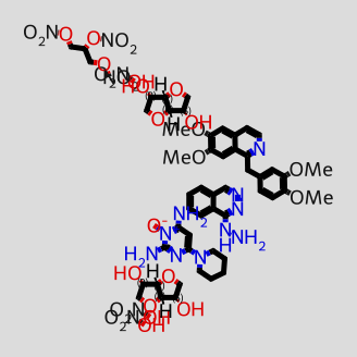 COc1ccc(Cc2nccc3cc(OC)c(OC)cc23)cc1OC.NNc1nncc2ccccc12.Nc1cc(N2CCCCC2)nc(N)[n+]1[O-].O=[N+]([O-])O.O=[N+]([O-])O.O=[N+]([O-])O.O=[N+]([O-])OCC(CO[N+](=O)[O-])O[N+](=O)[O-].O[C@@H]1CO[C@H]2[C@@H]1OC[C@@H]2O.O[C@@H]1CO[C@H]2[C@@H]1OC[C@@H]2O